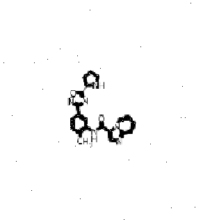 Cc1ccc(-c2noc([C@@H]3CCCN3)n2)cc1NC(=O)c1cnc2ccccn12